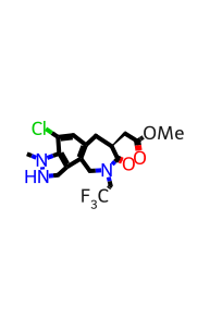 COC(=O)C[C@@H]1Cc2cc(Cl)c3c(c2CN(CC(F)(F)F)C1=O)CNN3C